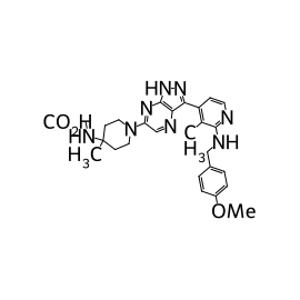 COc1ccc(CNc2nccc(-c3n[nH]c4nc(N5CCC(C)(NC(=O)O)CC5)cnc34)c2C)cc1